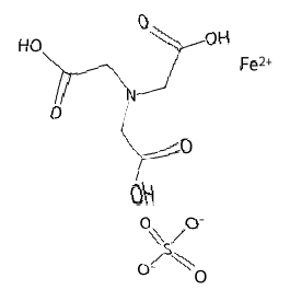 O=C(O)CN(CC(=O)O)CC(=O)O.O=S(=O)([O-])[O-].[Fe+2]